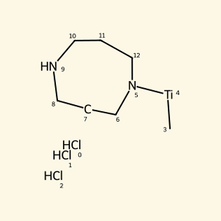 Cl.Cl.Cl.[CH3][Ti][N]1CCCNCCC1